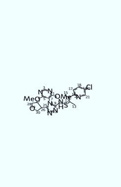 COc1ncnc(OC)c1-n1c(NSC(C)C(C)c2ccc(Cl)cn2)nnc1C1CCOC1